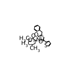 COC(=O)[C@H](CC(C)C)NC(=O)[C@@H](CC(=O)c1cccs1)Cc1ccccc1